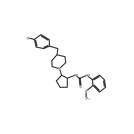 O=C(Nc1ccccc1OC(F)(F)F)NC1CCCC1N1CCC(Cc2ccc(Cl)cc2)CC1